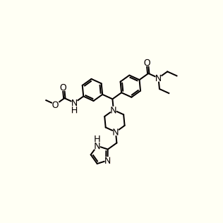 CCN(CC)C(=O)c1ccc(C(c2cccc(NC(=O)OC)c2)N2CCN(Cc3ncc[nH]3)CC2)cc1